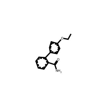 CCOc1ccc(-c2ccccc2C(N)=O)cc1